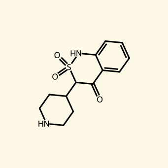 O=C1c2ccccc2NS(=O)(=O)C1C1CCNCC1